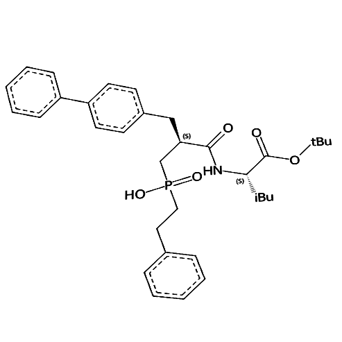 CCC(C)[C@H](NC(=O)[C@H](Cc1ccc(-c2ccccc2)cc1)CP(=O)(O)CCc1ccccc1)C(=O)OC(C)(C)C